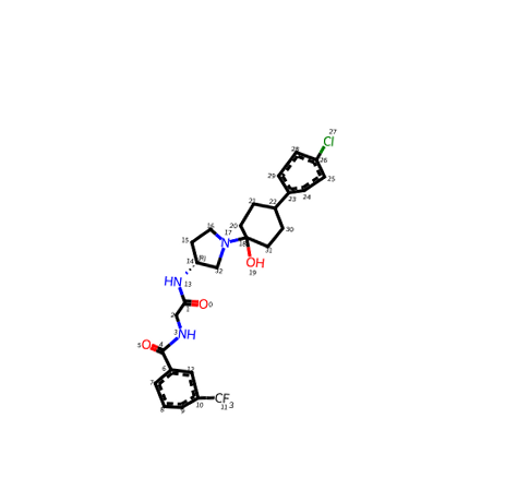 O=C(CNC(=O)c1cccc(C(F)(F)F)c1)N[C@@H]1CCN(C2(O)CCC(c3ccc(Cl)cc3)CC2)C1